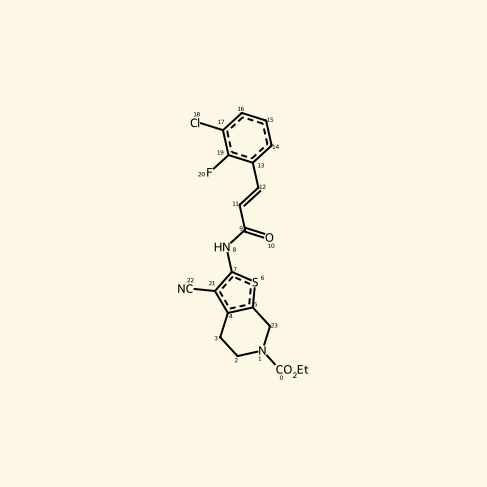 CCOC(=O)N1CCc2c(sc(NC(=O)C=Cc3cccc(Cl)c3F)c2C#N)C1